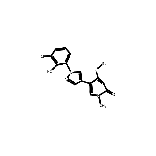 CCOc1cc(=O)n(C)cc1-c1cnn(-c2cccc(Cl)c2C#N)c1